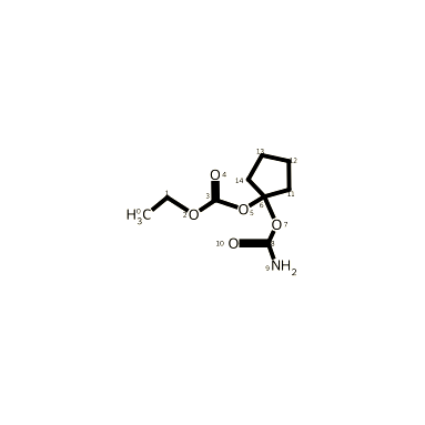 CCOC(=O)OC1(OC(N)=O)CCCC1